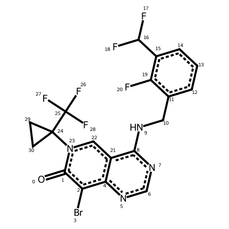 O=c1c(Br)c2ncnc(NCc3cccc(C(F)F)c3F)c2cn1C1(C(F)(F)F)CC1